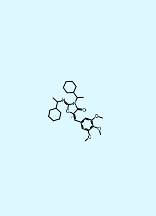 COc1cc(/C=C2/OC(=NC(C)C3CCCCC3)N(C(C)C3CCCCC3)C2=O)cc(OC)c1OC